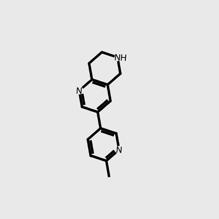 Cc1ccc(-c2cnc3c(c2)CNCC3)cn1